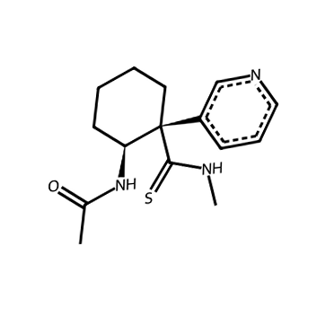 CNC(=S)[C@@]1(c2cccnc2)CCCC[C@@H]1NC(C)=O